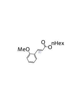 CCCCCCOC(=O)/C=C/c1ccccc1OC